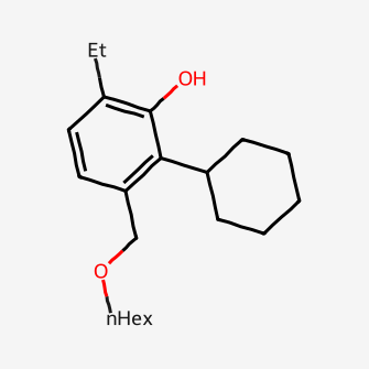 CCCCCCOCc1ccc(CC)c(O)c1C1CCCCC1